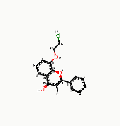 Cc1c(-c2ccccc2)oc2c(OCCCl)cccc2c1=O